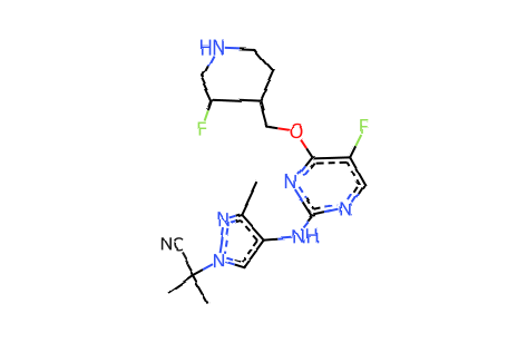 Cc1nn(C(C)(C)C#N)cc1Nc1ncc(F)c(OCC2CCNCC2F)n1